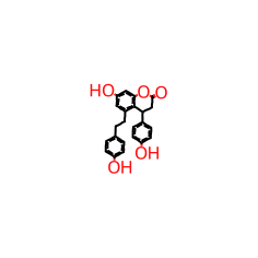 O=C1CC(c2ccc(O)cc2)c2c(CCc3ccc(O)cc3)cc(O)cc2O1